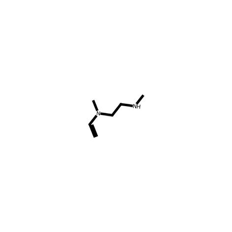 C=CN(C)CCNC